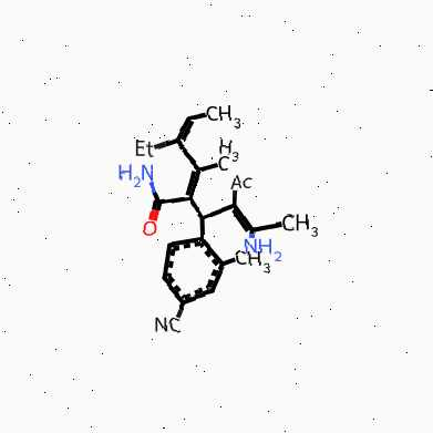 C/C=C(CC)\C(C)=C(/C(N)=O)C(/C(C(C)=O)=C(/C)N)c1ccc(C#N)cc1C